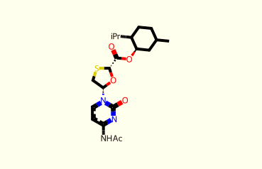 CC(=O)Nc1ccn([C@@H]2CS[C@H](C(=O)O[C@@H]3CC(C)CCC3C(C)C)O2)c(=O)n1